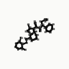 Cc1cccc(F)c1COc1cccn2c(C(=O)N[C@@H](CO)c3ccccc3)c(C)nc12